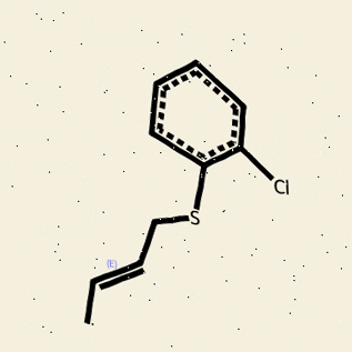 [CH2]/C=C/CSc1ccccc1Cl